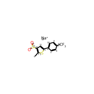 Cc1sc(-c2ccc(C(F)(F)F)cc2)cc1S(=O)[O-].[Na+]